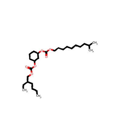 CCCCC(CC)COC(=O)OC1CCCC(OC(=O)OCCCCCCCCC(C)C)C1